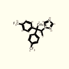 CC(=O)OC(c1ccc(C(F)(F)F)cc1)(c1ccc(C(F)(F)F)cc1)C(C)n1cncn1